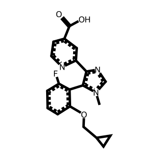 Cn1cnc(-c2cc(C(=O)O)ccn2)c1-c1c(F)cccc1OCC1CC1